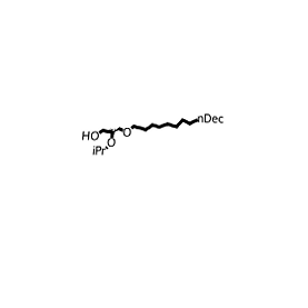 CCCCCCCCCCCCCCCCCCOC[C@H](CO)OC(C)C